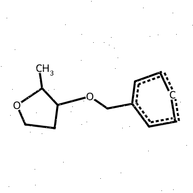 CC1OCCC1OCc1ccccc1